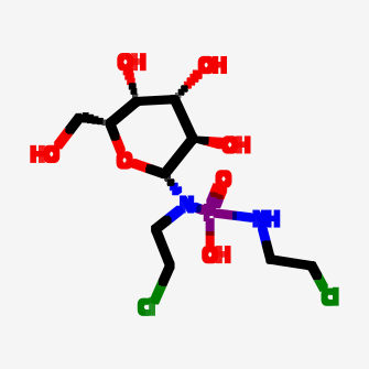 O=P(O)(NCCCl)N(CCCl)[C@@H]1O[C@H](CO)[C@H](O)[C@H](O)[C@H]1O